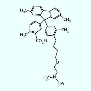 CCCN(C)CCOCCCCc1ccc(C2(c3ccc(C)c(C(=O)OCC)c3)c3cc(C)ccc3-c3ccc(C)cc32)cc1C